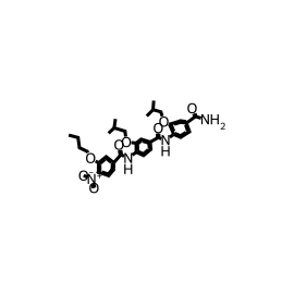 CCCCOc1cc(C(=O)Nc2ccc(C(=O)Nc3ccc(C(N)=O)cc3OCC(C)C)cc2OCC(C)C)ccc1[N+](=O)[O-]